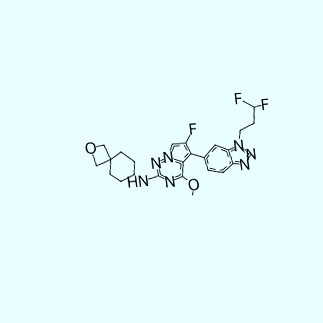 COc1nc(NC2CCC3(CC2)COC3)nn2cc(F)c(-c3ccc4nnn(CCC(F)F)c4c3)c12